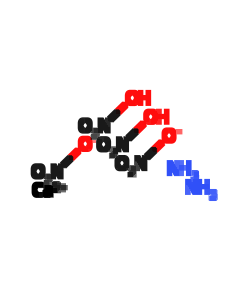 N.N.O=[N+]([O-])O.O=[N+]([O-])O.O=[N+]([O-])[O-].O=[N+]([O-])[O-].[Ca+2]